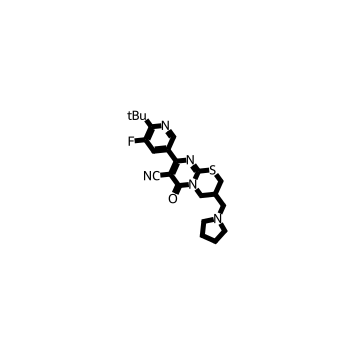 CC(C)(C)c1ncc(-c2nc3n(c(=O)c2C#N)CC(CN2CCCC2)CS3)cc1F